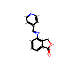 O=C1OCc2c(N=Cc3ccncc3)cccc21